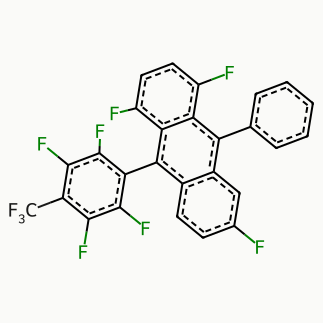 Fc1ccc2c(-c3c(F)c(F)c(C(F)(F)F)c(F)c3F)c3c(F)ccc(F)c3c(-c3ccccc3)c2c1